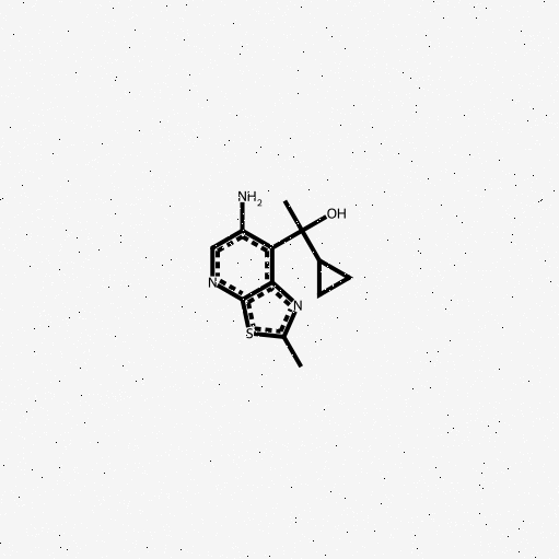 Cc1nc2c(C(C)(O)C3CC3)c(N)cnc2s1